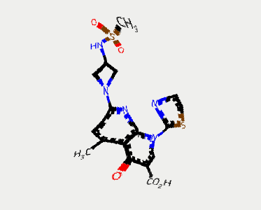 Cc1cc(N2CC(NS(C)(=O)=O)C2)nc2c1c(=O)c(C(=O)O)cn2-c1nccs1